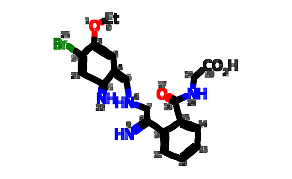 CCOC1=C/C(=C/NCC(=N)c2ccccc2C(=O)NCC(=O)O)C(=N)C=C1Br